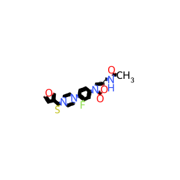 CC(=O)NC[C@H]1CN(c2ccc(N3CCN(C(=S)c4ccoc4)CC3)c(F)c2)C(=O)O1